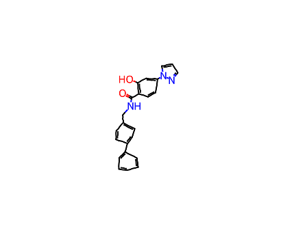 O=C(NCc1ccc(-c2ccccc2)cc1)c1ccc(-n2cccn2)cc1O